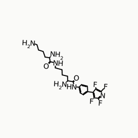 NCCCCC(N)C(=O)NCCCCC(N)C(=O)Nc1ccc(-c2c(F)c(F)nc(F)c2F)cc1